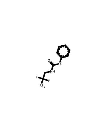 O=C(NCC(F)(F)C(F)(F)F)Oc1ccccc1